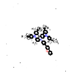 Cc1cc2c3c(c1)N(c1ccc(-c4ccc5c(c4)oc4ccccc45)cc1)c1cc4c(cc1B3c1cc(C(C)(C)C)ccc1N2c1ccc(C(C)(C)C)cc1)c1cc(C(C)(C)C)ccc1n4-c1ccc(C(C)(C)C)cc1